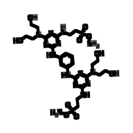 NOS(=O)(=O)CCNc1nc(Nc2cccc(Nc3nc(NCCS(=O)(=O)ON)nc(N(CCO)CCO)n3)c2)nc(N(CCO)CCO)n1